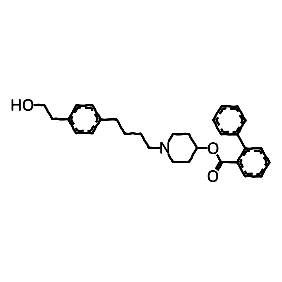 O=C(OC1CCN(CCCCc2ccc(CCO)cc2)CC1)c1ccccc1-c1ccccc1